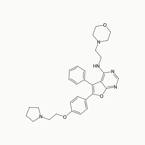 c1ccc(-c2c(-c3ccc(OCCN4CCCC4)cc3)oc3ncnc(NCCN4CCOCC4)c23)cc1